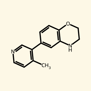 Cc1ccncc1-c1ccc2c(c1)NCCO2